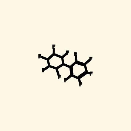 Fc1c(F)c(F)c(C2C(F)C(F)C(F)C(F)C2F)c(F)c1F